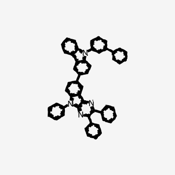 c1ccc(-c2cccc(-n3c4ccccc4c4cc(-c5ccc6c(c5)c5nc(-c7ccccc7)c(-c7ccccc7)nc5n6-c5ccccc5)ccc43)c2)cc1